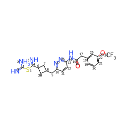 N=C(N)SC(=N)C1CC(Cc2ccc(NC(=O)Cc3cccc(OC(F)(F)F)c3)nn2)C1